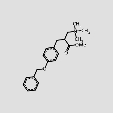 COC(=O)C(Cc1ccc(OCc2ccccc2)cc1)C[N+](C)(C)C